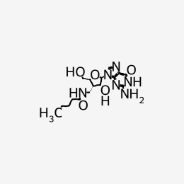 CCCCC(=O)NC[C@H]1[C@@H](O)[C@H](n2cnc3c(=O)[nH]c(N)nc32)O[C@@H]1CO